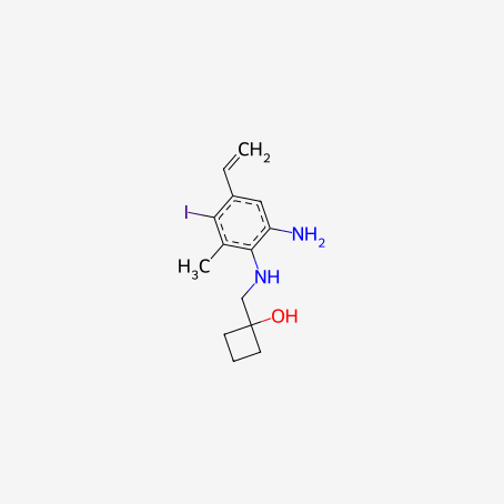 C=Cc1cc(N)c(NCC2(O)CCC2)c(C)c1I